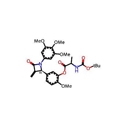 C=C1C(=O)N(c2cc(OC)c(OC)c(OC)c2)[C@H]1c1ccc(OC)c(OC(=O)C(C)NC(=O)OC(C)(C)C)c1